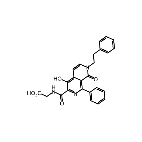 O=C(O)CNC(=O)c1nc(-c2ccccc2)c2c(=O)n(CCc3ccccc3)ccc2c1O